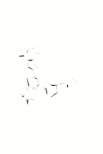 CC(=O)OCC(=O)Nc1cccc(-c2cc(-c3cc4c([nH]3)CCNC4=O)ccn2)c1.O=C(O)C(F)(F)F